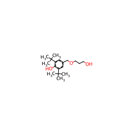 CC(C)(C)c1cc(COCCCO)cc(C(C)(C)C)c1O